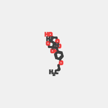 C=CCOc1ccc(C(=O)[C@@]2(O)CO[C@@H]3[C@@H](O)CO[C@@H]32)cc1